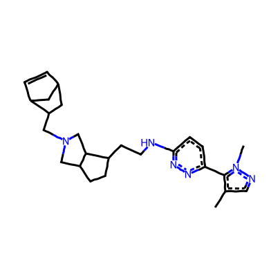 Cc1cnn(C)c1-c1ccc(NCCC2CCC3CN(CC4CC5C=CC4C5)CC23)nn1